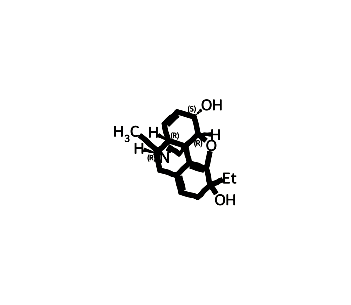 CCC1(O)CC=C2C[C@@H]3[C@@H]4C=C[C@H](O)[C@@H]5OC1=C2[C@]45CCN3C